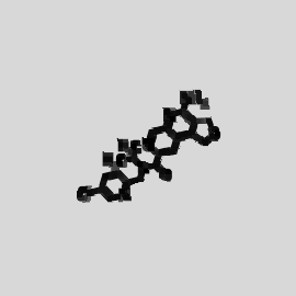 CC(C)N(Cc1ccc(Cl)cn1)C(=O)c1cc2c3c(c(N)nc2cn1)COC3